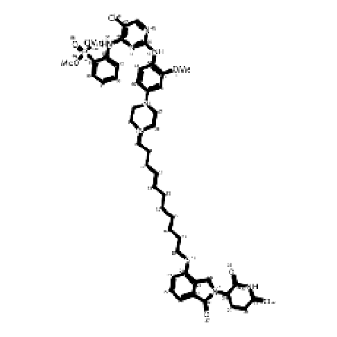 COc1cc(N2CCN(CCCCCCCCCCCSc3cccc4c3CN(C3CCC(=O)NC3=O)C4=O)CC2)ccc1Nc1ncc(Cl)c(Nc2ccccc2P(=O)(OC)OC)n1